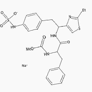 CCc1nc(C(Cc2ccc(NS(=O)(=O)[O-])cc2)NC(=O)C(Cc2ccccc2)NC(=O)OC)cs1.[Na+]